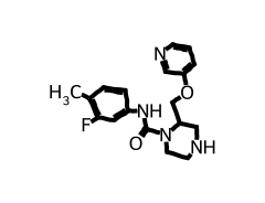 Cc1ccc(NC(=O)N2CCNCC2COc2cccnc2)cc1F